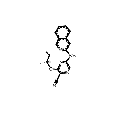 CC[C@@H](C)Oc1nc(Nc2cc3ccccc3cn2)cnc1C#N